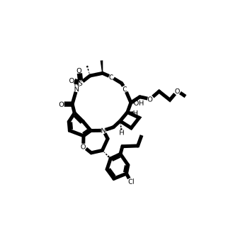 CCCc1cc(Cl)ccc1[C@@H]1COc2ccc3cc2N(C1)C[C@@H]1CC[C@H]1[C@](O)(COCCOC)CCC[C@H](C)[C@@H](C)S(=O)(=O)NC3=O